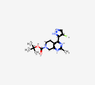 Cc1nc2c(c(-c3[nH]ncc3F)n1)CCN(C(=O)OC(C)(C)C)C2